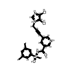 Cc1cc(C)cc(S(C)(=O)=NC(=O)c2cncc(C#CCn3cnc(Cl)c3Cl)c2)c1